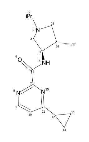 CC(C)N1C[C@H](NC(=O)c2nccc(C3CC3)n2)[C@@H](C)C1